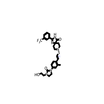 Cc1cc(N2CCN(CCO)C2=O)ccc1/C=C/SN1CCC2(CC1)N=C(c1cccc(C(F)(F)F)c1)NC2=O